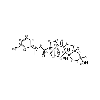 C[C@@]1(O)CC[C@H]2[C@H](CC[C@@H]3[C@@H]2CC[C@]2(C)[C@@H](C(=O)CNc4cccc(F)c4)CC[C@@H]32)C1